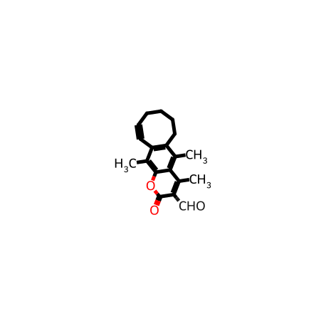 Cc1c2c(c(C)c3c(C)c(C=O)c(=O)oc13)CCCCC#C2